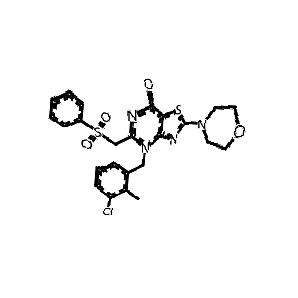 Cc1c(Cl)cccc1Cn1c(CS(=O)(=O)c2ccccc2)nc(=O)c2sc(N3CCOCC3)nc21